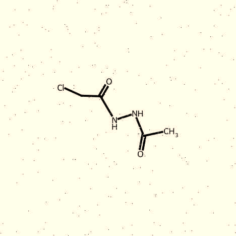 CC(=O)NNC(=O)CCl